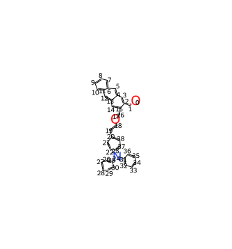 O=Cc1cc2cc3ccccc3cc2cc1COC=Cc1ccc(N(c2ccccc2)c2ccccc2)cc1